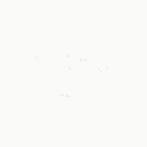 CCn1nc(C)c(F)c1C(=O)Nc1nc2cc(C#N)cc(I)c2n1CCCNC